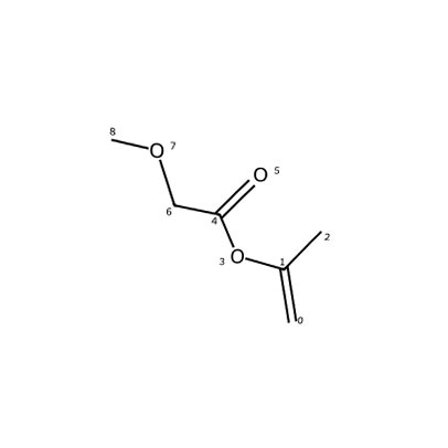 C=C(C)OC(=O)COC